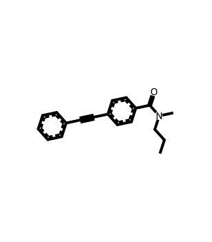 CCCN(C)C(=O)c1ccc(C#Cc2ccccc2)cc1